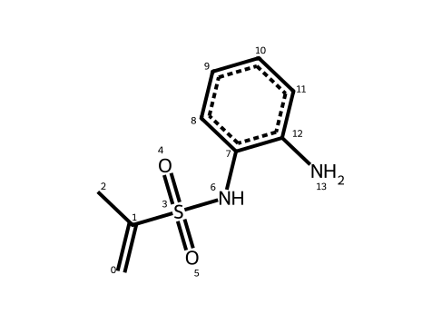 C=C(C)S(=O)(=O)Nc1ccccc1N